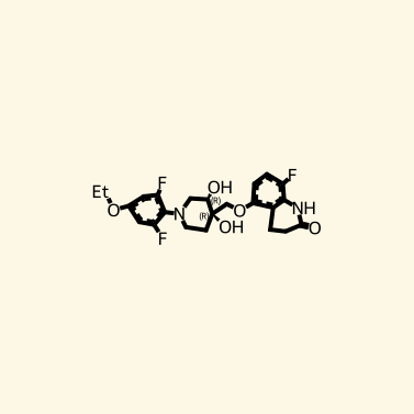 CCOc1cc(F)c(N2CC[C@@](O)(COc3ccc(F)c4c3CCC(=O)N4)[C@H](O)C2)c(F)c1